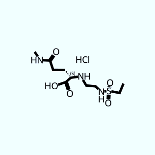 CCS(=O)(=O)NCCN[C@@H](CCC(=O)NC)C(=O)O.Cl